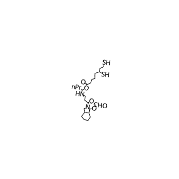 CCCC(NCCC(=O)N1CC2CCCCC2C1OC=O)OC(=O)CCCCC(S)CCS